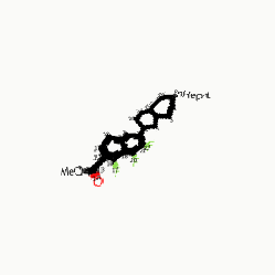 CCCCCCCC1CCC2CC(c3cc4ccc(C(=O)OC)c(F)c4c(F)c3F)CCC2C1